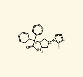 Cc1nccn1[C@H]1CCC([C@](C(N)=O)(c2ccccc2)C2C=CC=CC2)C1